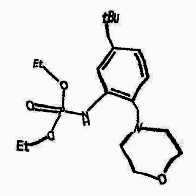 CCOP(=O)(Nc1cc(C(C)(C)C)ccc1N1CCOCC1)OCC